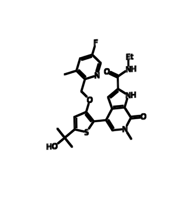 CCNC(=O)c1cc2c(-c3sc(C(C)(C)O)cc3OCc3ncc(F)cc3C)cn(C)c(=O)c2[nH]1